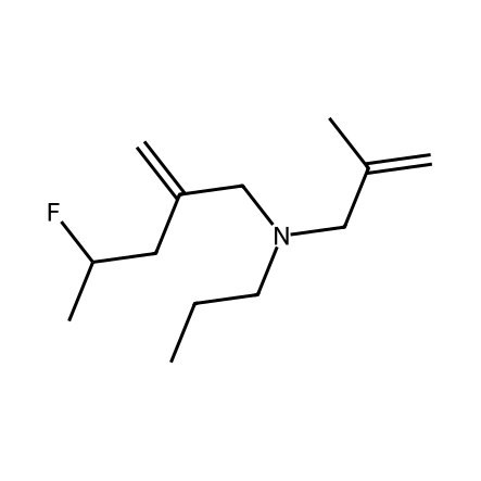 C=C(C)CN(CCC)CC(=C)CC(C)F